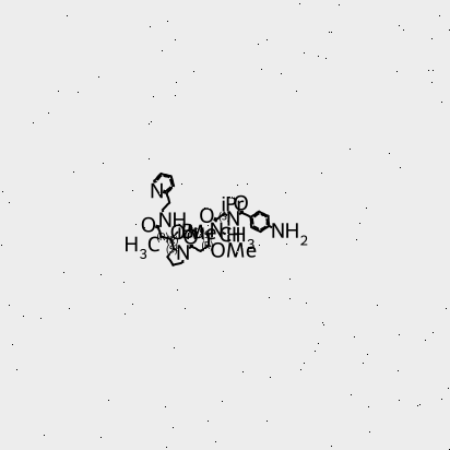 CC[C@H](C)[C@@H]([C@@H](CC(=O)N1CCC[C@H]1[C@H](OC)[C@@H](C)C(=O)NCCc1ccccn1)OC)N(C)C(=O)[C@@H](NC(=O)c1ccc(N)cc1)C(C)C